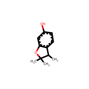 CC1c2ccc(O)cc2OC1(C)C